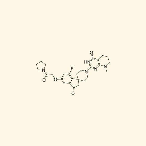 CN1CCCc2c1nc(N1CCC3(CC1)CC(=O)c1cc(OCC(=O)N4CCCC4)cc(F)c13)[nH]c2=O